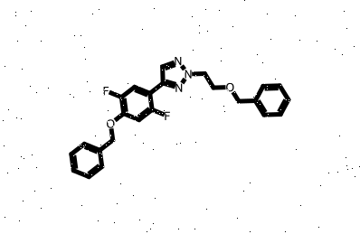 Fc1cc(-c2cnn(CCOCc3ccccc3)n2)c(F)cc1OCc1ccccc1